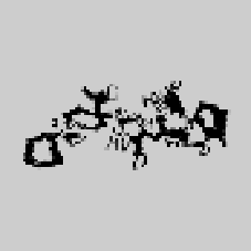 CC(=O)C1(NC(=O)NC(Cc2c[nH]c(=O)nc2NC(=O)c2c(C)cccc2C)C(=O)O)CCN(S(=O)(=O)c2ccccc2)CC1